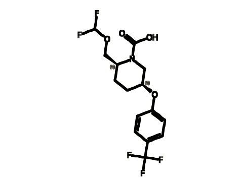 O=C(O)N1C[C@@H](Oc2ccc(C(F)(F)F)cc2)CC[C@H]1COC(F)F